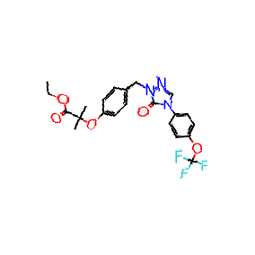 CCOC(=O)C(C)(C)Oc1ccc(Cn2ncn(-c3ccc(OC(F)(F)F)cc3)c2=O)cc1